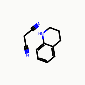 N#CCC#N.c1ccc2c(c1)CCCN2